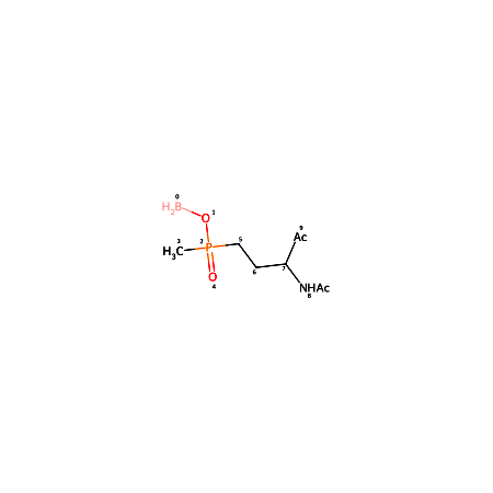 BOP(C)(=O)CCC(NC(C)=O)C(C)=O